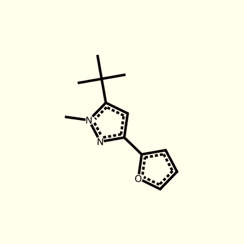 Cn1nc(-c2ccco2)cc1C(C)(C)C